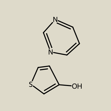 Oc1ccsc1.c1cncnc1